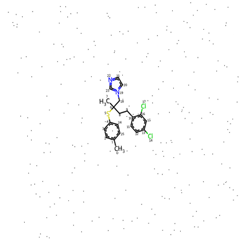 Cc1ccc(SC(C)(CCc2ccc(Cl)cc2Cl)Cn2ccnc2)cc1